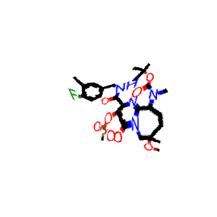 COC1(C)CCC(N(C)C(=O)OC(C)(C)C)c2nc(C(=O)NCc3ccc(F)c(C)c3)c(OS(C)(=O)=O)c(=O)n2C1